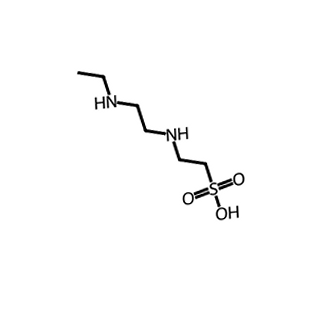 CCNCCNCCS(=O)(=O)O